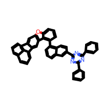 c1ccc(-c2nc(-c3ccccc3)nc(-c3ccc4c(-c5cccc6oc7cc8c(cc7c56)-c5cccc6cccc-8c56)cccc4c3)n2)cc1